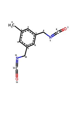 Cc1cc(CN=C=O)cc(CN=C=O)c1